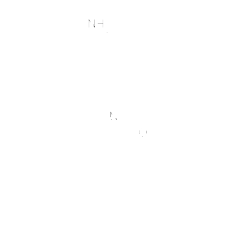 NCc1ccc(C[N]C(=O)CCc2ccccc2)cc1